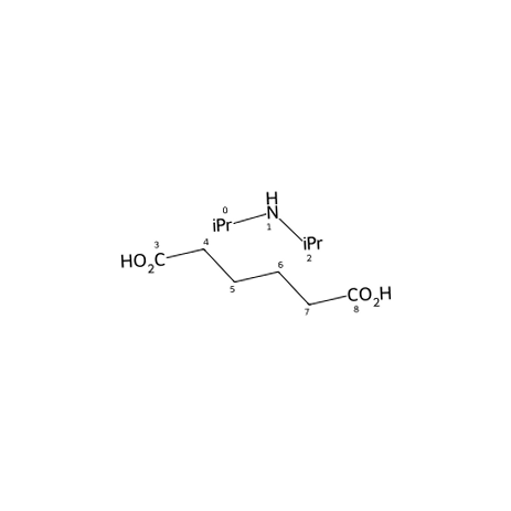 CC(C)NC(C)C.O=C(O)CCCCC(=O)O